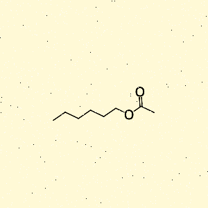 CCCCCCOC(C)=O